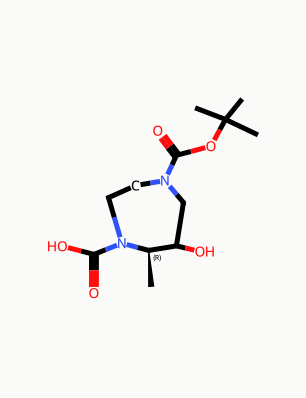 C[C@@H]1C(O)CN(C(=O)OC(C)(C)C)CCN1C(=O)O